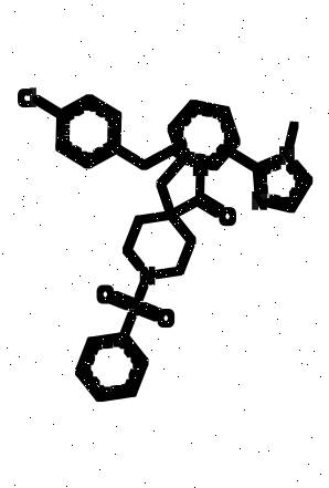 Cn1ccnc1CN(CCc1ccc(Cl)cc1)C(=O)C1(Cc2ccccc2)CCN(S(=O)(=O)c2ccccc2)CC1